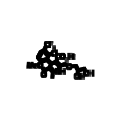 CCOC(=O)C1=C(COCC(O)CO)NC(C)=C(C(=O)OC)C1c1cccc(C(F)(F)F)c1Cl